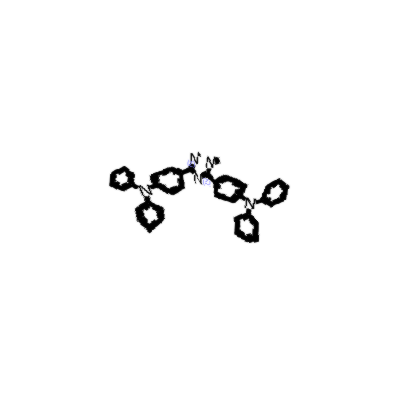 C=N/C(=N\C(=N/C)c1ccc(N(c2ccccc2)c2ccccc2)cc1)c1ccc(N(c2ccccc2)c2ccccc2)cc1